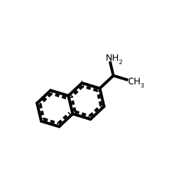 CC(N)c1[c]c2ccccc2cc1